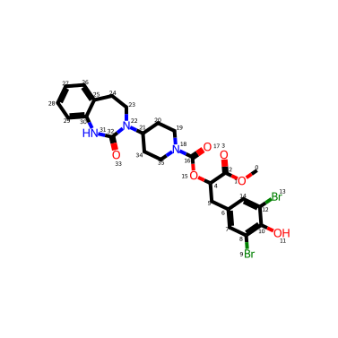 COC(=O)C(Cc1cc(Br)c(O)c(Br)c1)OC(=O)N1CCC(N2CCc3ccccc3NC2=O)CC1